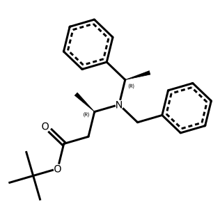 C[C@H](CC(=O)OC(C)(C)C)N(Cc1ccccc1)[C@H](C)c1ccccc1